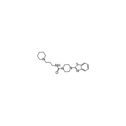 O=C(NCCCN1CCCCC1)N1CCN(c2nc3ccccc3s2)CC1